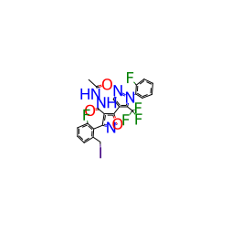 CC(=O)NNC(=O)c1c(-c2c(F)cccc2CI)noc1-c1cnn(-c2ccccc2F)c1C(F)(F)F